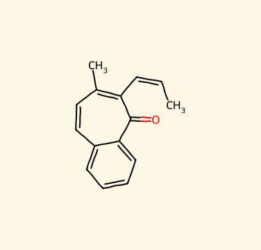 C/C=C\c1c(C)ccc2ccccc2c1=O